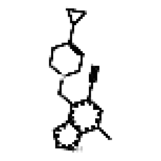 C#Cc1cc(C)c2[nH]ccc2c1CN1CC=C(C2CC2)CC1